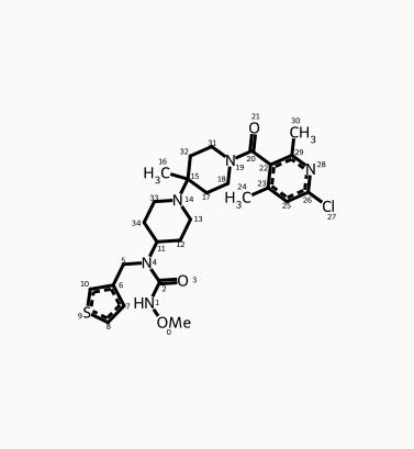 CONC(=O)N(Cc1ccsc1)C1CCN(C2(C)CCN(C(=O)c3c(C)cc(Cl)nc3C)CC2)CC1